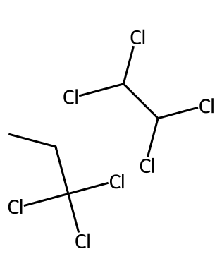 CCC(Cl)(Cl)Cl.ClC(Cl)C(Cl)Cl